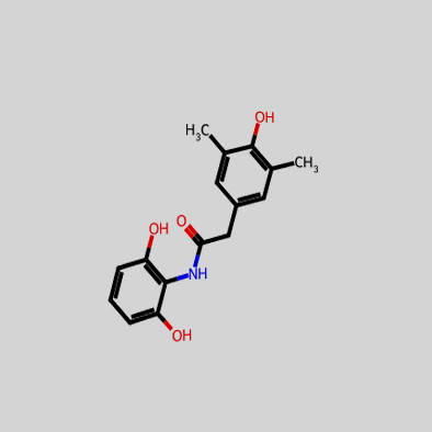 Cc1cc(CC(=O)Nc2c(O)cccc2O)cc(C)c1O